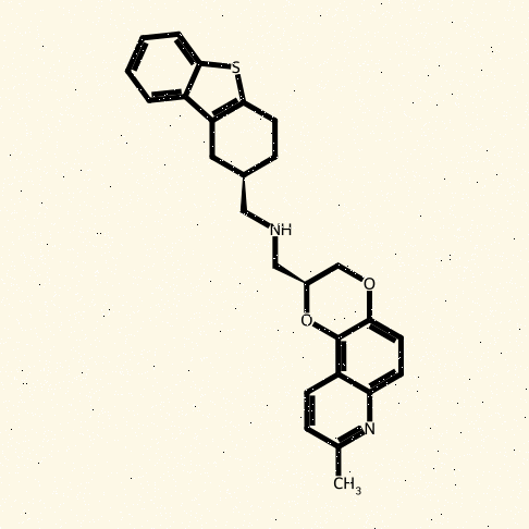 Cc1ccc2c3c(ccc2n1)OC[C@H](CNC[C@@H]1CCc2sc4ccccc4c2C1)O3